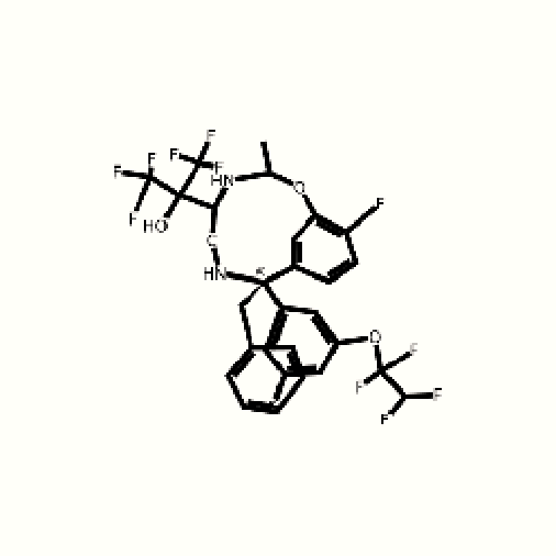 CC1NC(C(O)(C(F)(F)F)C(F)(F)F)CN[C@@](Cc2ccccc2)(c2cc(F)cc(OC(F)(F)C(F)F)c2)c2ccc(F)c(c2)O1